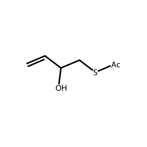 C=CC(O)CSC(C)=O